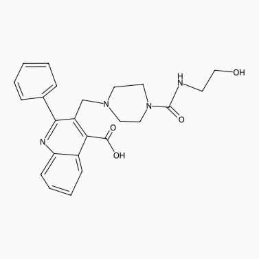 O=C(O)c1c(CN2CCN(C(=O)NCCO)CC2)c(-c2ccccc2)nc2ccccc12